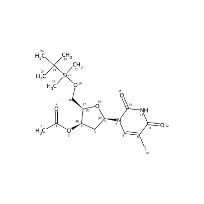 CC(=O)O[C@@H]1C[C@H](n2cc(I)c(=O)[nH]c2=O)O[C@@H]1CO[Si](C)(C)C(C)(C)C